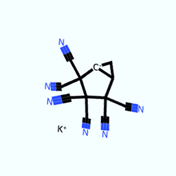 N#CC1(C#N)[C-]2CC2C(C#N)(C#N)C1(C#N)C#N.[K+]